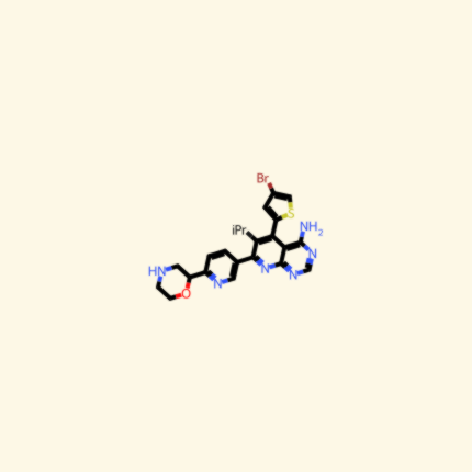 CC(C)c1c(-c2ccc(C3CNCCO3)nc2)nc2ncnc(N)c2c1-c1cc(Br)cs1